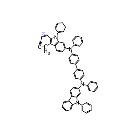 C#C/C=C\c1c(C)c2ccc(N(c3ccccc3)c3ccc(-c4ccc(N(c5ccccc5)c5ccc6c7ccccc7n(-c7ccccc7)c6c5)cc4)cc3)cc2n1C1=CCCC=C1